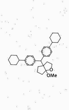 COC12CCCC1(C(c1ccc(C3CCCCC3)cc1)c1ccc(C3CCCCC3)cc1)CCO2